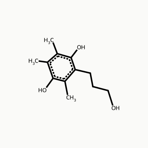 Cc1c(C)c(O)c(CCCO)c(C)c1O